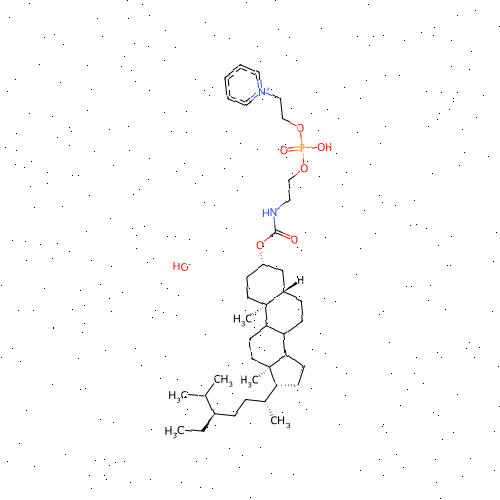 CC[C@H](CC[C@@H](C)[C@H]1CCC2C3CC[C@H]4C[C@@H](OC(=O)NCCOP(=O)(O)OCC[n+]5ccccc5)CC[C@]4(C)C3CC[C@@]21C)C(C)C.[OH-]